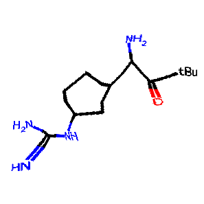 CC(C)(C)C(=O)C(N)C1CCC(NC(=N)N)C1